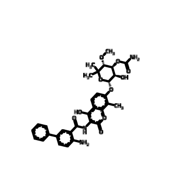 CO[C@@H]1[C@@H](OC(N)=O)[C@@H](O)[C@H](Oc2ccc3c(O)c(NC(=O)c4cc(-c5ccccc5)ccc4N)c(=O)oc3c2C)OC1(C)C